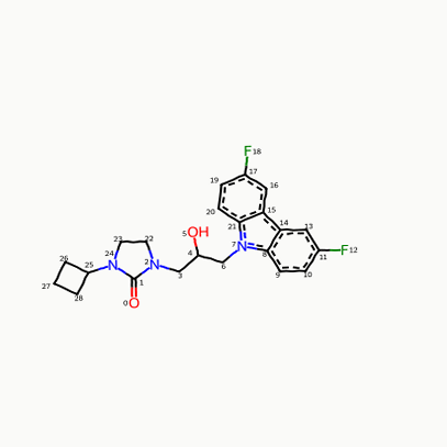 O=C1N(CC(O)Cn2c3ccc(F)cc3c3cc(F)ccc32)CCN1C1CCC1